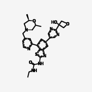 CCNC(=O)Nc1nc2cc(-c3cnc(C4(O)COC4)nc3)cc(-c3cc(CN4CC(C)O[C@H](C)C4)ccn3)c2s1